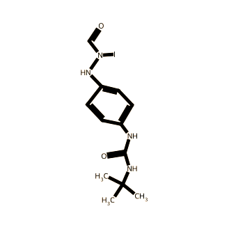 CC(C)(C)NC(=O)Nc1ccc(NN(I)C=O)cc1